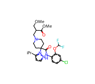 COCC(CN1CCC(C(=O)Nc2ccc(Cl)cc2OC(F)F)(n2nccc2C(C)C)CC1)C(=O)OC